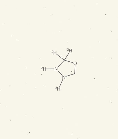 [2H]N1COC([2H])([2H])N1[2H]